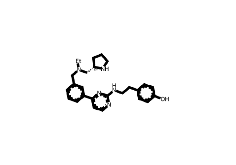 CCN(Cc1cccc(-c2ccnc(NCCc3ccc(O)cc3)n2)c1)C[C@@H]1CCCN1